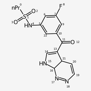 CCCS(=O)(=O)Nc1cc(F)cc(C(=O)C2=CNC3N=NC=CC23)c1